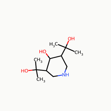 CC(C)(O)C1CNCC(C(C)(C)O)C1O